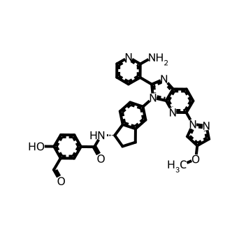 COc1cnn(-c2ccc3nc(-c4cccnc4N)n(-c4ccc5c(c4)CC[C@@H]5NC(=O)c4ccc(O)c(C=O)c4)c3n2)c1